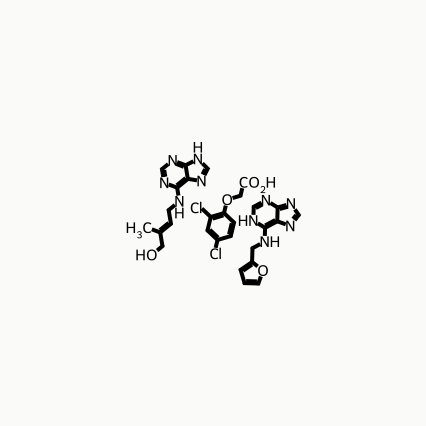 C/C(=C\CNc1ncnc2[nH]cnc12)CO.O=C(O)COc1ccc(Cl)cc1Cl.c1coc(CNc2[nH]cnc3ncnc2-3)c1